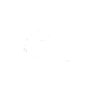 CCC1([C@@]2(OC(=O)C3c4ccccc4Oc4ccccc43)CN3CCC2CC3)C=CC=CC1